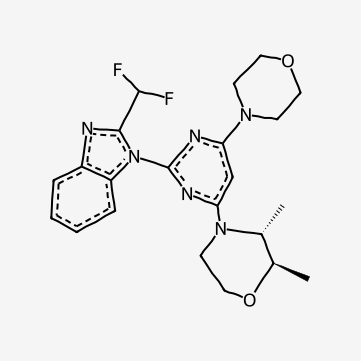 C[C@@H]1[C@@H](C)OCCN1c1cc(N2CCOCC2)nc(-n2c(C(F)F)nc3ccccc32)n1